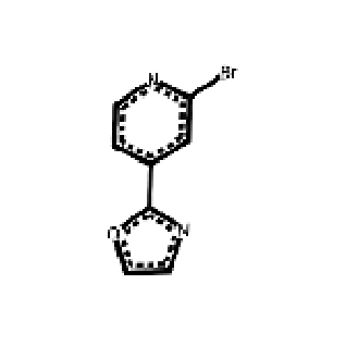 Brc1cc(-c2ncco2)ccn1